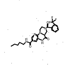 CCCCCNC(=O)c1cnc2c(c1)NC(=O)C1CN(C(=O)c3ccccc3C(F)(F)F)CCN21